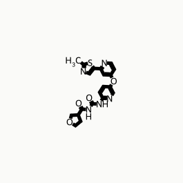 Cc1ncc(-c2cc(Oc3ccc(NC(=O)NC(=O)C4CCOC4)nc3)ccn2)s1